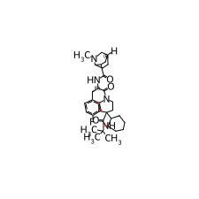 CN1C[C@@H]2CCC1C(C(=O)N[C@H](Cc1ccc(F)cc1)C(=O)N1CCC(C(=O)NC(C)(C)C)(C3CCCCC3)CC1)C2